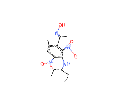 CCC(CC)Nc1c([N+](=O)[O-])cc(C)c(C(C)=NO)c1[N+](=O)[O-]